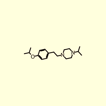 CC(C)Oc1ccc(CCN2CCN(C(C)C)CC2)cc1